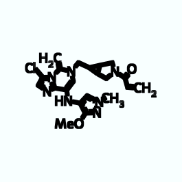 C=CC(=O)N1CC2C(CN3C=C(Nc4cn(C)nc4OC)c4ncc(Cl)n4C3=C)C2C1